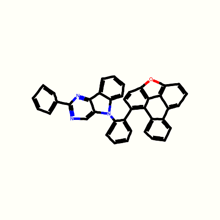 c1ccc(-c2ncc3c(n2)c2ccccc2n3-c2ccccc2-c2ccc3oc4cccc5c6ccccc6c2c3c45)cc1